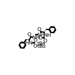 CC(C)(C)OC(=O)N[C@@H](Cc1ccccc1)C(=O)NCNC(=O)[C@H](Cc1ccccc1)NC(=O)OC(C)(C)C